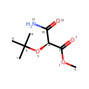 COC(=O)[C@@H](OC(C)(C)C)C(N)=O